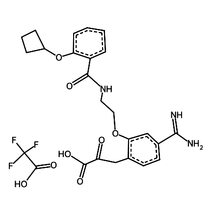 N=C(N)c1ccc(CC(=O)C(=O)O)c(OCCNC(=O)c2ccccc2OC2CCC2)c1.O=C(O)C(F)(F)F